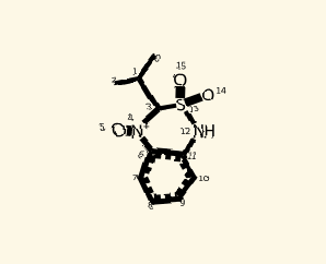 CC(C)C1[N+](=O)c2ccccc2NS1(=O)=O